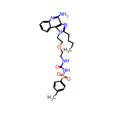 CCCCc1nc2c(N)nc3ccccc3c2n1CCOCCNC(=O)NS(=O)(=O)c1ccc(C)cc1